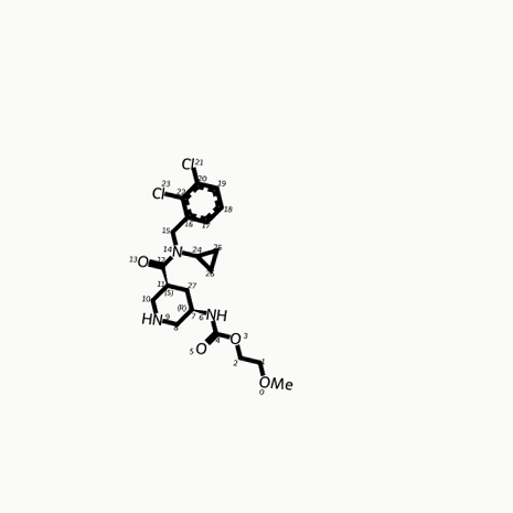 COCCOC(=O)N[C@H]1CNC[C@@H](C(=O)N(Cc2cccc(Cl)c2Cl)C2CC2)C1